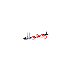 CC(C)C(=O)COCCOCCOCCNCC(C)(C)C